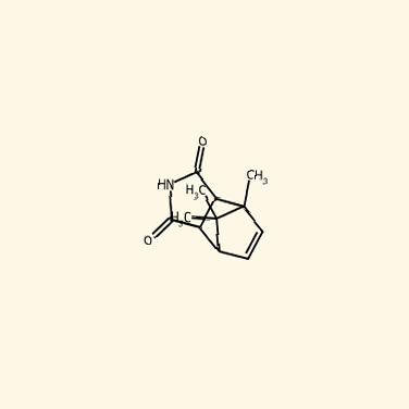 CC1(C)C2C=CC1(C)C1C(=O)NC(=O)C21